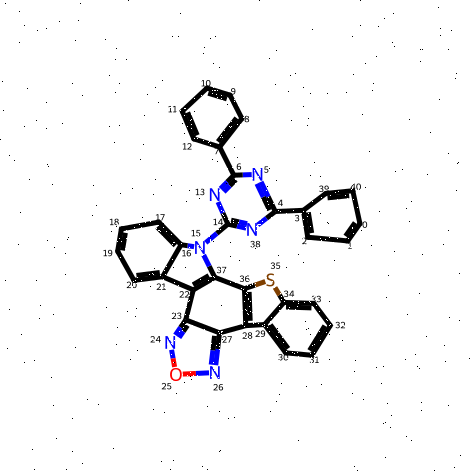 c1ccc(-c2nc(-c3ccccc3)nc(-n3c4ccccc4c4c5nonc5c5c6ccccc6sc5c43)n2)cc1